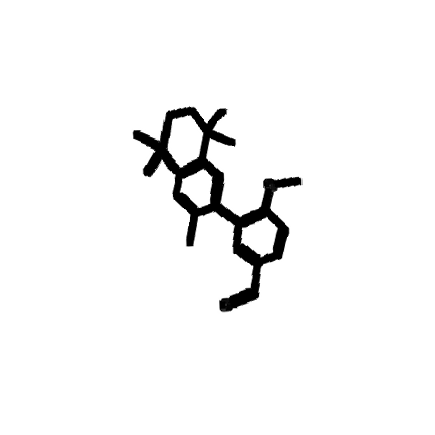 COc1ccc(C=O)cc1-c1cc2c(cc1C)C(C)(C)CCC2(C)C